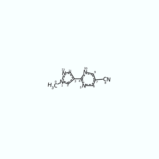 Cn1cc(-c2ncc(C#N)cn2)cn1